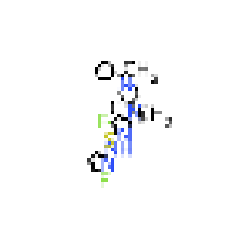 Cc1c(N(C)C2CCN(C(C)c3ccccc3)CC2)cnc(SNc2cccc(F)n2)c1F